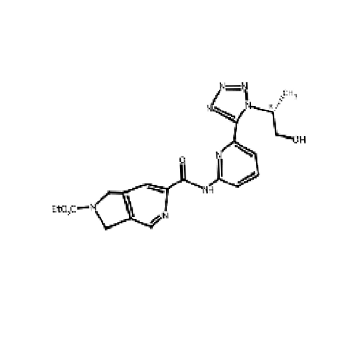 CCOC(=O)N1Cc2cnc(C(=O)Nc3cccc(-c4nnnn4[C@H](C)CO)n3)cc2C1